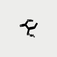 CC=C(CC)C(=O)OC.N